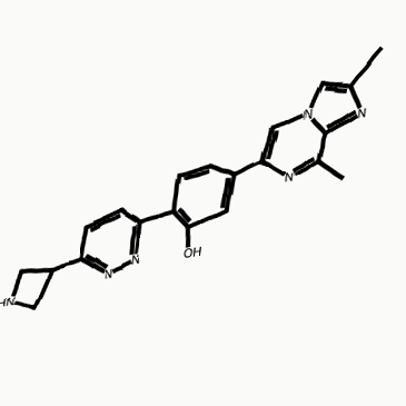 Cc1cn2cc(-c3ccc(-c4ccc(C5CNC5)nn4)c(O)c3)nc(C)c2n1